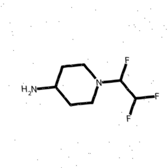 NC1CCN(C(F)C(F)F)CC1